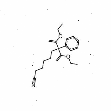 C=C(OCC)C(CCCCCC#N)(C(=C)OCC)c1ccccc1